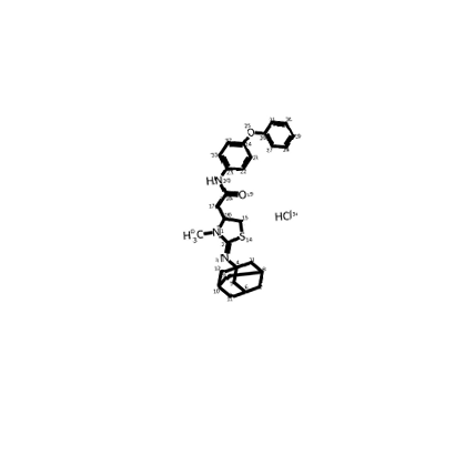 CN1C(=NC23CC4CC(CC(C4)C2)C3)SCC1CC(=O)Nc1ccc(Oc2ccccc2)cc1.Cl